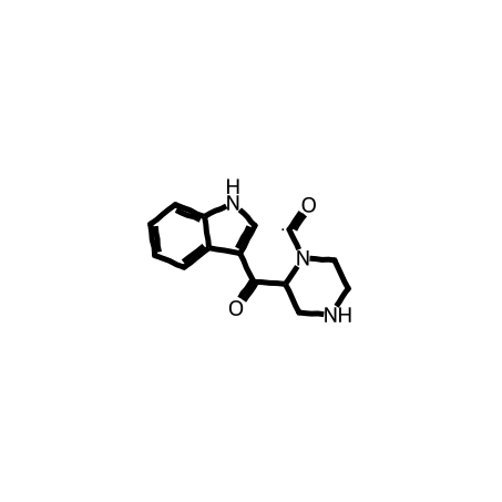 O=[C]N1CCNCC1C(=O)c1c[nH]c2ccccc12